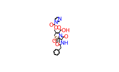 O=C(Cc1ccccc1)NC1C(=O)N2C(C(=O)O)=C(COC(=O)n3ccnc3)C[S+]([O-])[C@H]12